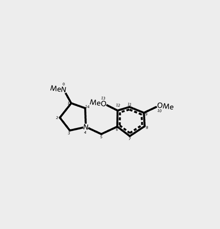 CNC1CCN(Cc2ccc(OC)cc2OC)C1